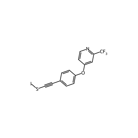 FC(F)(F)c1cc(Oc2ccc(C#CSI)cc2)ccn1